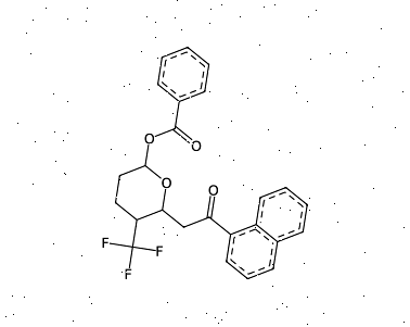 O=C(OC1CCC(C(F)(F)F)C(CC(=O)c2cccc3ccccc23)O1)c1ccccc1